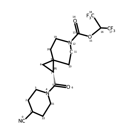 N#CC1CCN(C(=O)[C@@H]2CC23CCN(C(=O)OC(C(F)(F)F)C(F)(F)F)CC3)CC1